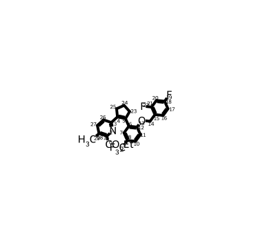 CCOC(=O)c1nc(C2=C(c3cc(C(F)(F)F)ccc3OCc3ccc(F)cc3F)CCC2)ccc1C